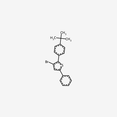 CC(C)(C)c1ccc(-c2sc(-c3ccccc3)cc2Br)cc1